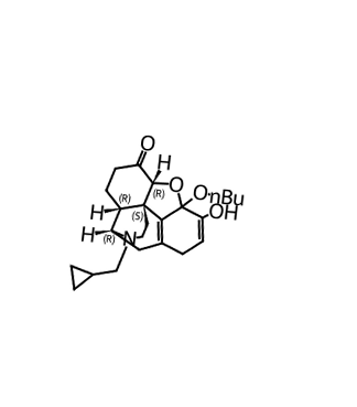 CCCCOC12O[C@H]3C(=O)CC[C@H]4[C@H]5CC(=C1[C@@]34CCN5CC1CC1)CC=C2O